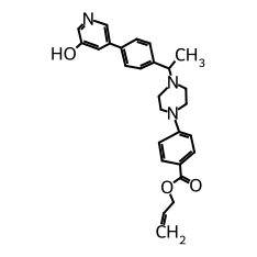 C=CCOC(=O)c1ccc(N2CCN(C(C)c3ccc(-c4cncc(O)c4)cc3)CC2)cc1